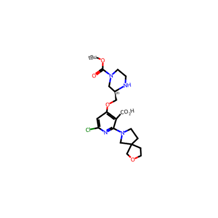 CC(C)(C)OC(=O)N1CCN[C@@H](COc2cc(Cl)nc(N3CCC4(CCOC4)C3)c2C(=O)O)C1